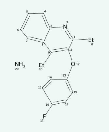 CCc1nc2ccccc2c(CC)c1Oc1ccc(F)cc1.N